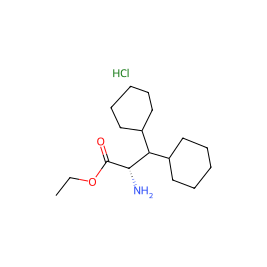 CCOC(=O)[C@@H](N)C(C1CCCCC1)C1CCCCC1.Cl